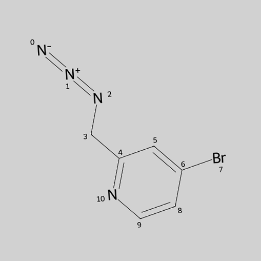 [N-]=[N+]=NCc1cc(Br)ccn1